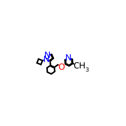 Cc1cncc(OCC2=C(c3ccnn3C3CCC3)CCCC2)c1